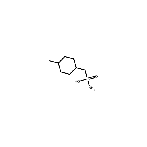 CC1CCC(CP(N)(=O)O)CC1